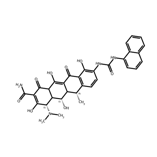 C[C@H]1c2ccc(NC(=O)Nc3cccc4ccccc34)c(O)c2C(=O)C2=C(O)C3C(=O)C(C(N)=O)=C(O)[C@@H](N(C)C)C3[C@@H](O)C21